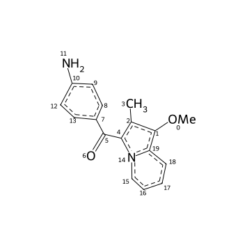 COc1c(C)c(C(=O)c2ccc(N)cc2)n2ccccc12